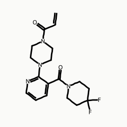 C=CC(=O)N1CCN(c2ncccc2C(=O)N2CCC(F)(F)CC2)CC1